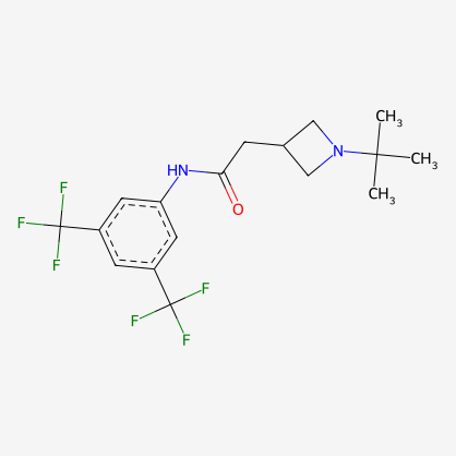 CC(C)(C)N1CC(CC(=O)Nc2cc(C(F)(F)F)cc(C(F)(F)F)c2)C1